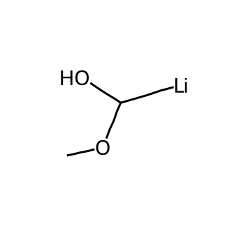 [Li][CH](O)OC